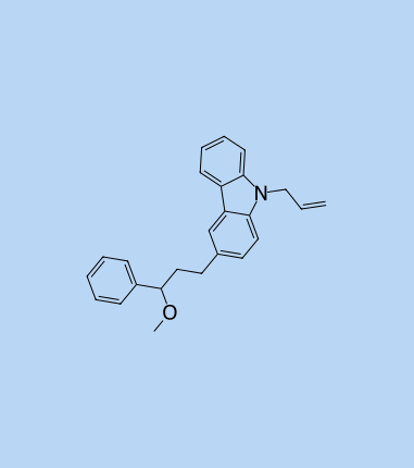 C=CCn1c2ccccc2c2cc(CCC(OC)c3ccccc3)ccc21